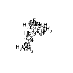 COc1c(C2C(C(=O)Nc3ccc(C4COC(C)(C)O4)nc3)OC(C)(C(F)(F)F)C2C)ccc(F)c1C